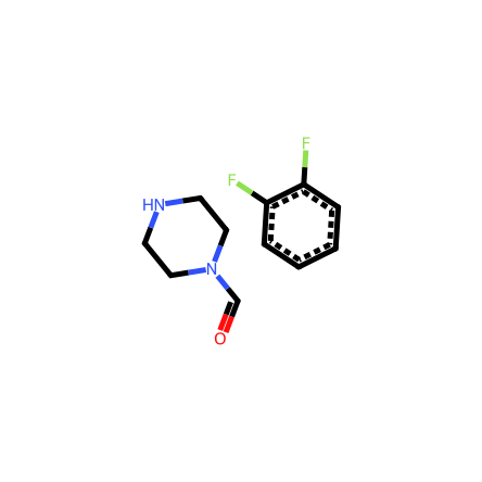 Fc1ccccc1F.O=CN1CCNCC1